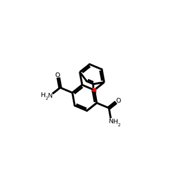 NC(=O)c1ccc(C(N)=O)c2c3ccc(cc3Cl)c12